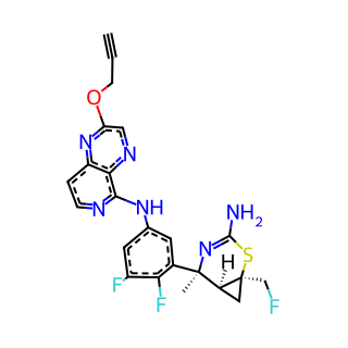 C#CCOc1cnc2c(Nc3cc(F)c(F)c([C@@]4(C)N=C(N)S[C@@]5(CF)C[C@H]54)c3)nccc2n1